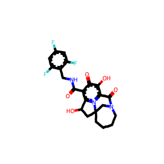 O=C(NCc1c(F)cc(F)cc1F)c1c2n3c(c(O)c1=O)C(=O)N1CCCCC3(CC2O)C1